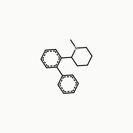 CN1CCCCC1c1ccccc1-c1ccccc1